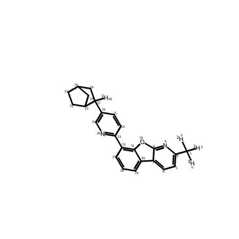 [2H]C([2H])([2H])c1ccc2c(n1)oc1c(-c3ccc(C4([2H])CC5CCC4C5)cn3)cccc12